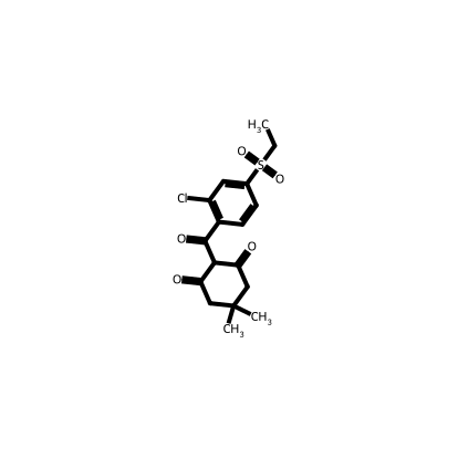 CCS(=O)(=O)c1ccc(C(=O)C2C(=O)CC(C)(C)CC2=O)c(Cl)c1